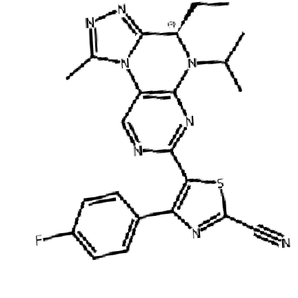 CC[C@@H]1c2nnc(C)n2-c2cnc(-c3sc(C#N)nc3-c3ccc(F)cc3)nc2N1C(C)C